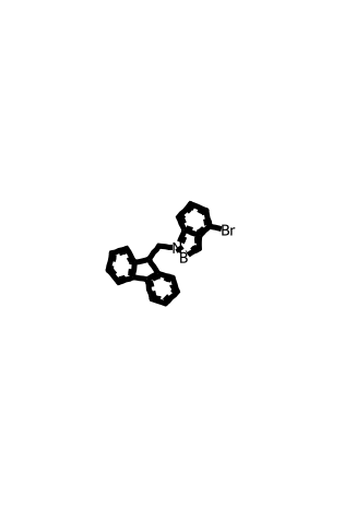 Brc1cccc2c1cbn2CC1c2ccccc2-c2ccccc21